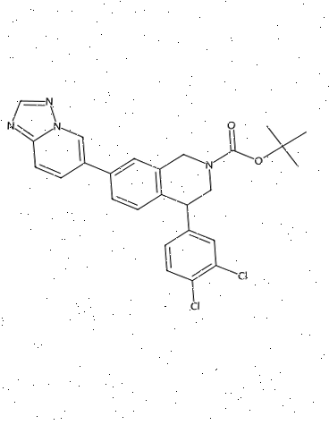 CC(C)(C)OC(=O)N1Cc2cc(-c3ccc4ncnn4c3)ccc2C(c2ccc(Cl)c(Cl)c2)C1